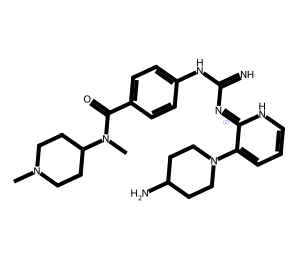 CN1CCC(N(C)C(=O)c2ccc(NC(=N)/N=c3\[nH]cccc3N3CCC(N)CC3)cc2)CC1